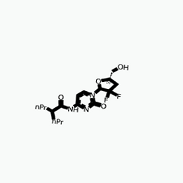 CCCC(CCC)C(=O)Nc1ccn(C2O[C@H](CO)CC2(F)F)c(=O)n1